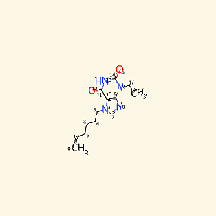 C=CCCCCn1cnc2c1c(=O)[nH]c(=O)n2CC